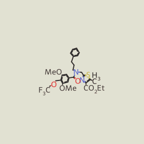 CCOC(=O)c1nc(CN(CCCc2ccccc2)C(=O)c2cc(OC)c(COCC(F)(F)F)c(OC)c2)sc1C